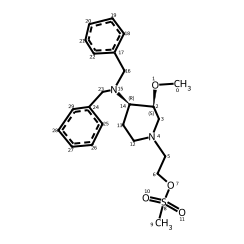 CO[C@H]1CN(CCOS(C)(=O)=O)CC[C@H]1N(Cc1ccccc1)Cc1ccccc1